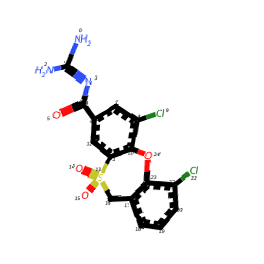 NC(N)=NC(=O)c1cc(Cl)c2c(c1)S(=O)(=O)Cc1cccc(Cl)c1O2